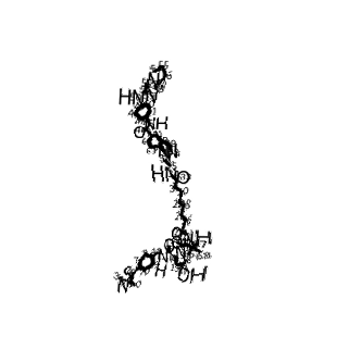 Cc1ncsc1-c1ccc(CNC(=O)[C@@H]2C[C@@H](O)CN2C(=O)[C@@H](NC(=O)CCCCCCC(=O)NCCn2ncc3cc(C(=O)Nc4ccc5[nH]c(CN6CCC[C@@H]6C)nc5c4)ccc32)C(C)(C)C)cc1